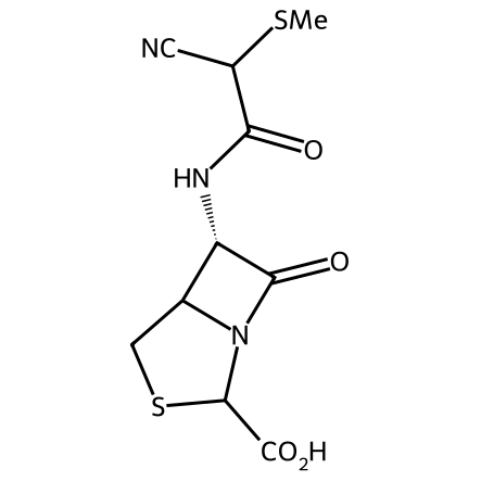 CSC(C#N)C(=O)N[C@@H]1C(=O)N2C(C(=O)O)SCC12